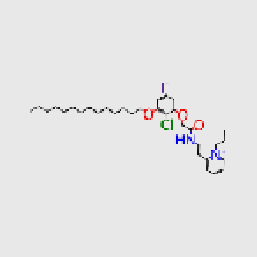 CCCCCCCCCCCCCCOc1cccc(OCC(=O)NCCc2cccc[n+]2CCC)c1Cl.[I-]